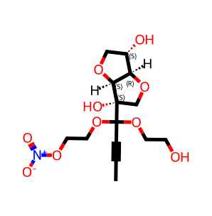 CC#CC(OCCO)(OCCO[N+](=O)[O-])[C@]1(O)CO[C@@H]2[C@@H](O)CO[C@@H]21